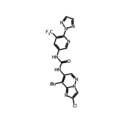 CCC(C)c1c(NC(=O)Nc2cnc(-n3nccn3)c(C(F)(F)F)c2)cnn2cc(Cl)nc12